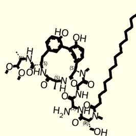 CCCCCCCCCCCCCCCC(=O)N(C)[C@H](CO)C(=O)N[C@H](N)C(=O)NCC(=O)N(C)[C@@H]1C(=O)N[C@@H](C)C(=O)N[C@H](C(=O)N[C@@H](C)C(OC)OC)Cc2ccc(O)c(c2)-c2cc1ccc2O